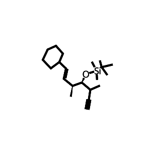 C#CC(C)[C@H](O[Si](C)(C)C(C)(C)C)[C@@H](C)/C=C/C1CCCCC1